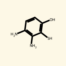 Nc1ccc(O)c(S)c1N